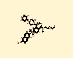 CCSCCNC(=O)c1ccc(S(=O)(=O)c2ccc3cc(Br)ccc3c2)cc1C(=O)N1CCN(c2ccncc2)CC1